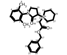 Cc1cccc(C)c1N1CCC([N+]2(CC(=O)OCc3ccccc3)CCCCC2)C1=O